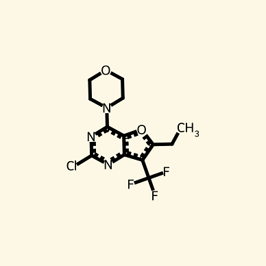 CCc1oc2c(N3CCOCC3)nc(Cl)nc2c1C(F)(F)F